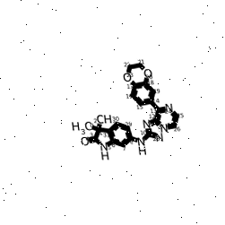 CC1(C)C(=O)Nc2cc(Nc3nc4c(-c5ccc6c(c5)OCCO6)nccn4n3)ccc21